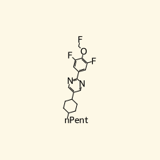 CCCCCC1CCC(c2cnc(-c3cc(F)c(OCF)c(F)c3)nc2)CC1